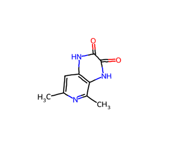 Cc1cc2[nH]c(=O)c(=O)[nH]c2c(C)n1